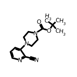 CC(C)(C)OC(=O)N1CCN(c2cccnc2C#N)CC1